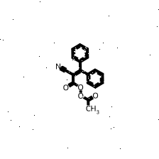 CC(=O)OOC(=O)C(C#N)=C(c1ccccc1)c1ccccc1